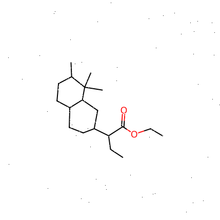 CCOC(=O)C(CC)C1CCC2CCC(C)C(C)(C)C2C1